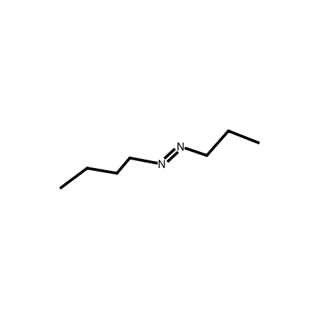 CCCCN=NCCC